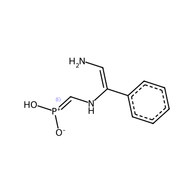 NC=C(N/C=[P+](\[O-])O)c1ccccc1